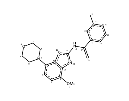 COc1ccc(N2CCOCC2)c2sc(NC(=O)c3ccnc(C)c3)nc12